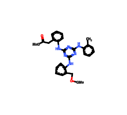 COOCc1ccccc1Nc1nc(Nc2ccccc2C)nc(Nc2ccccc2CC(=O)OC)n1